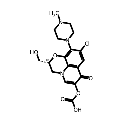 CN1CCN(c2c(Cl)cc3c(=O)c(OC(=O)O)cn4c3c2O[C@@H](CO)C4)CC1